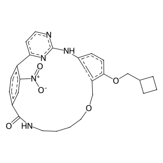 O=C1NCCCCOCc2cc(ccc2OCC2CCC2)Nc2nccc(n2)-c2ccc1cc2[N+](=O)[O-]